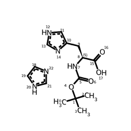 CC(C)(C)OC(=O)N[C@@H](Cc1c[nH]cn1)C(=O)O.c1c[nH]cn1